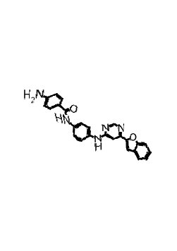 Nc1ccc(C(=O)Nc2ccc(Nc3cc(-c4cc5ccccc5o4)ncn3)cc2)cc1